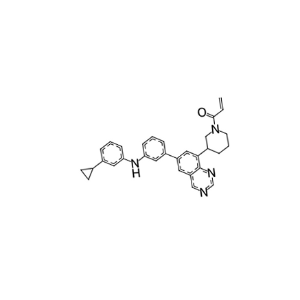 C=CC(=O)N1CCCC(c2cc(-c3cccc(Nc4cccc(C5CC5)c4)c3)cc3cncnc23)C1